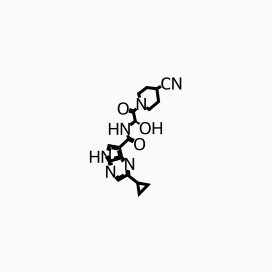 N#CC1CCN(C(=O)[C@@H](O)NC(=O)c2c[nH]c3ncc(C4CC4)nc23)CC1